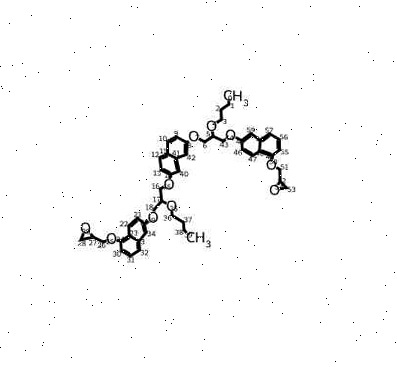 CCCCOC(COc1ccc2ccc(OCC(COc3ccc4c(OCC5CO5)cccc4c3)OCCCC)cc2c1)COc1ccc2c(OCC3CO3)cccc2c1